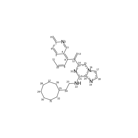 C=C\N=C/C(/C=C\C)=C(/C=C\C)C(=C)c1cn2ccnc2c(NCCC2CCCCCCC2)n1